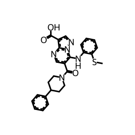 CSc1ccccc1Nc1c(C(=O)N2CCC(c3ccccc3)CC2)cnc2c(C(=O)O)cnn12